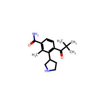 Cc1c(C(N)=O)ccc(C(=O)C(C)(C)C)c1C1CCNC1